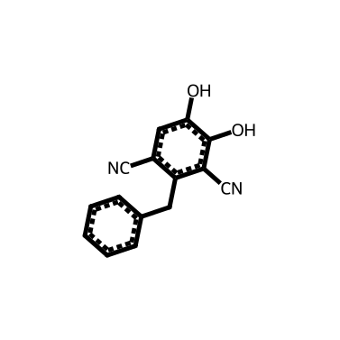 N#Cc1cc(O)c(O)c(C#N)c1Cc1ccccc1